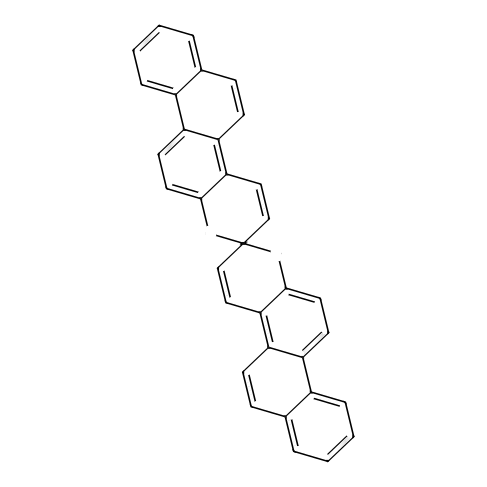 C1=CC2(C=Cc3c(ccc4c3ccc3ccccc34)O2)Oc2ccc3c(ccc4ccccc43)c21